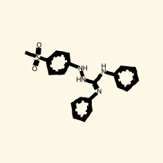 CS(=O)(=O)c1ccc(NN/C(=N\c2ccccc2)Nc2ccccc2)cc1